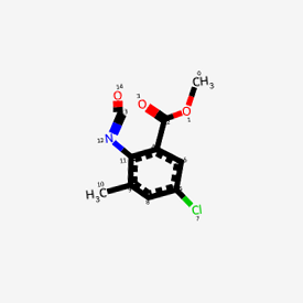 COC(=O)c1cc(Cl)cc(C)c1N=C=O